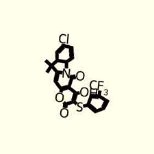 CC1(C)c2cc3oc(=O)c(Sc4cccc(C(F)(F)F)c4)c(O)c3c(=O)n2C2C=CC(Cl)=CC21